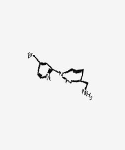 NCc1ccn(-c2cc(Br)ccn2)n1